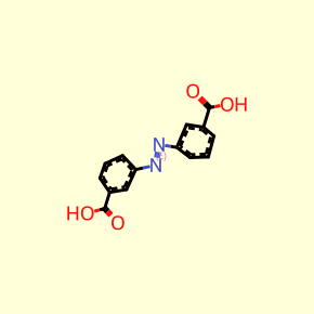 O=C(O)c1cccc(/N=N/c2cccc(C(=O)O)c2)c1